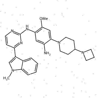 COc1cc(N2CCC(N3CCC3)CC2)c(N)cc1Nc1nccc(-c2cn(C)c3ccccc23)n1